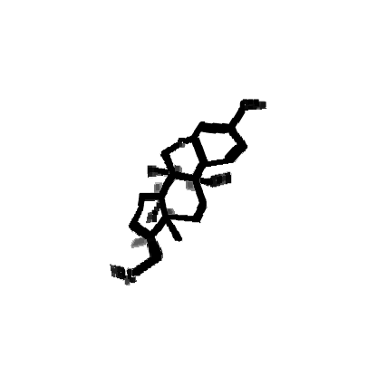 COc1ccc2c(c1)CC[C@@H]1[C@@H]3CC[C@H](CC(=O)O)[C@@]3(C)CC[C@]21O